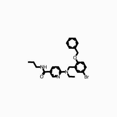 CCCNC(=O)c1ccc(N(CC)Cc2cc(Br)ccc2OCc2ccccc2)nc1